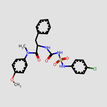 COc1ccc(N(C)C(=O)C(Cc2ccccc2)NC(=O)NS(=O)(=O)Nc2ccc(Cl)cc2)cc1